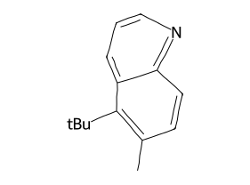 Cc1ccc2ncccc2c1C(C)(C)C